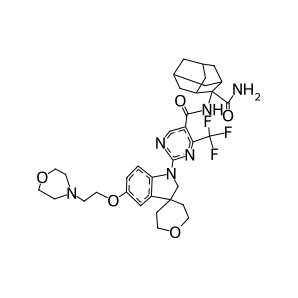 NC(=O)C1(NC(=O)c2cnc(N3CC4(CCOCC4)c4cc(OCCN5CCOCC5)ccc43)nc2C(F)(F)F)C2CC3CC(C2)CC1C3